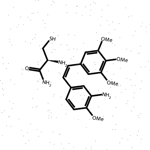 COc1ccc(/C=C\c2cc(OC)c(OC)c(OC)c2)cc1N.NC(=O)[C@H](N)CS